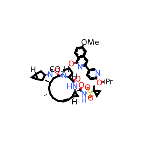 COc1ccc2c(O[C@@H]3C[C@H]4C(=O)N[C@]5(C(=O)NS(=O)(=O)C6(C)CC6)C[C@H]5/C=C\CC[C@H](C)C[C@@H](C)[C@H](N(C(=O)O)[C@H]5CC6C[C@H]6C5)C(=O)N4C3)nc(-c3ccc(OC(C)C)nc3)cc2c1